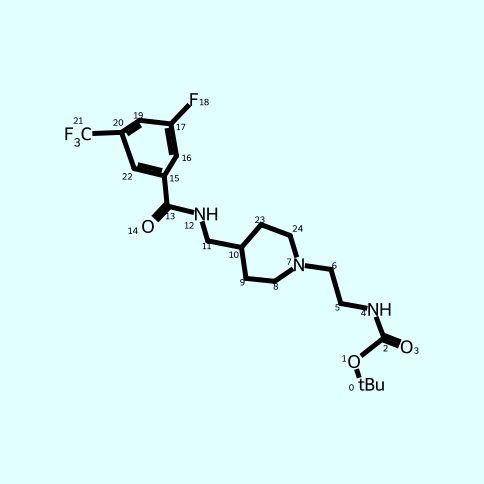 CC(C)(C)OC(=O)NCCN1CCC(CNC(=O)c2cc(F)cc(C(F)(F)F)c2)CC1